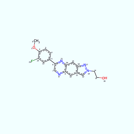 COc1ccc(-c2cnc3cc4cn(CCO)nc4cc3n2)cc1F